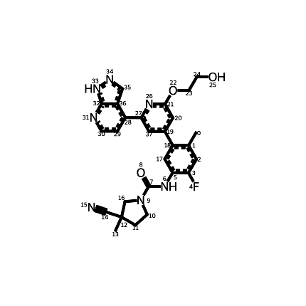 Cc1cc(F)c(NC(=O)N2CCC(C)(C#N)C2)cc1-c1cc(OCCO)nc(-c2ccnc3[nH]ncc23)c1